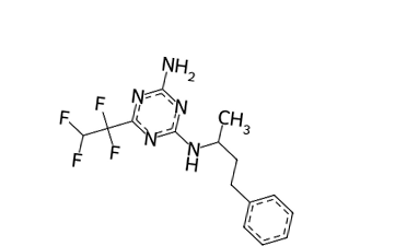 CC(CCc1ccccc1)Nc1nc(N)nc(C(F)(F)C(F)F)n1